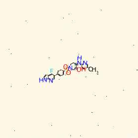 Cc1ccc(N[C@@H]2CCN(S(=O)(=O)c3ccc(-c4cnc5[nH]ccc5c4F)cc3)C[C@@H]2O)nc1